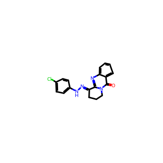 O=c1c2ccccc2nc2n1CCCC2=NNc1ccc(Cl)cc1